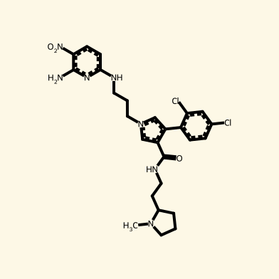 CN1CCCC1CCNC(=O)c1cn(CCCNc2ccc([N+](=O)[O-])c(N)n2)cc1-c1ccc(Cl)cc1Cl